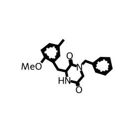 COc1ccc(C)cc1CC1NC(=O)CN(Cc2ccccc2)C1=O